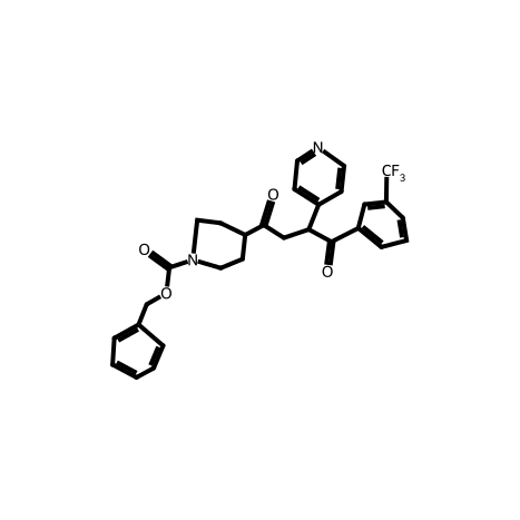 O=C(CC(C(=O)c1cccc(C(F)(F)F)c1)c1ccncc1)C1CCN(C(=O)OCc2ccccc2)CC1